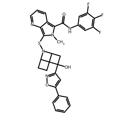 Cn1c(C(=O)Nc2cc(F)c(F)c(F)c2)c2cccnc2c1SN1C2CCC23C1CC3(O)c1cc(-c2ccccc2)on1